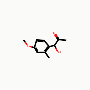 COc1ccc(C(O)C(C)=O)c(C)c1